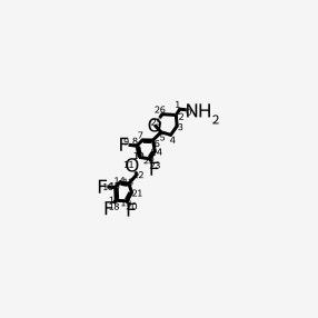 NCC1CCC(c2cc(F)c(OCc3cc(F)c(F)c(F)c3)c(F)c2)OC1